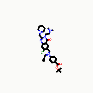 C#CCN(Cc1cc2c(=O)n(CCN(C)C)c(CN3CCCCC3)nc2cc1Cl)c1ccc(C(=O)OC(C)(C)C)cc1